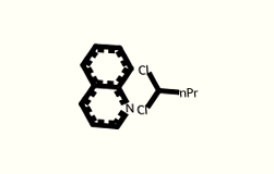 CCCC(Cl)Cl.c1ccc2ncccc2c1